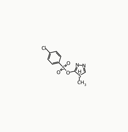 C[SH]1C=NN=C1OS(=O)(=O)c1ccc(Cl)cc1